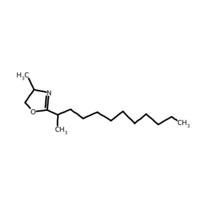 CCCCCCCCCCC(C)C1=NC(C)CO1